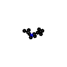 C(=C(c1ccccc1)c1ccccc1)c1ccc2c(c1)c1ccccc1n2-c1ccc(-c2ccc([Si](c3ccccc3)(c3ccccc3)c3ccccc3)cc2)c2ccccc12